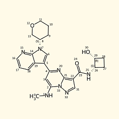 CNc1cc(-c2cn([C@H]3CCCOC3)c3ncccc23)nc2c(C(=O)N[C@H]3CC[C@H]3O)cnn12